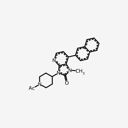 CC(=O)N1CCC(n2c(=O)n(C)c3c(-c4ccc5ccccc5c4)ccnc32)CC1